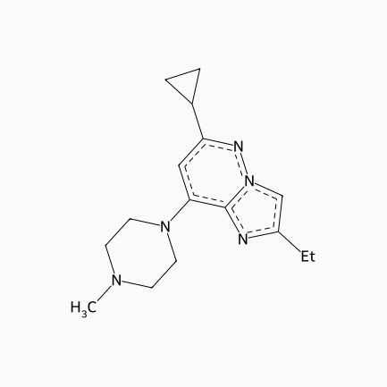 CCc1cn2nc(C3CC3)cc(N3CCN(C)CC3)c2n1